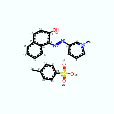 C[n+]1cccc(N=Nc2c(O)ccc3ccccc23)c1.Cc1ccc(S(=O)(=O)[O-])cc1